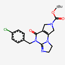 CC(C)(C)OC(=O)N1CC2=C(C1)N1CCN=C1N(Cc1ccc(Cl)cc1)C2=O